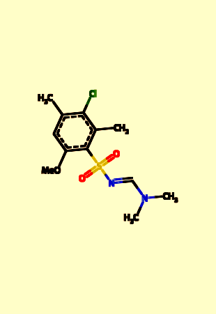 COc1cc(C)c(Cl)c(C)c1S(=O)(=O)N=CN(C)C